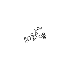 CC(CO)COc1c(-c2ccc(S(C)(=O)=O)cc2)cnn(-c2ccc(F)c(Cl)c2)c1=O